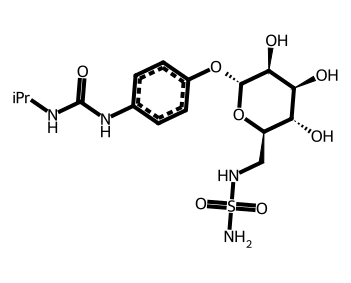 CC(C)NC(=O)Nc1ccc(O[C@H]2O[C@H](CNS(N)(=O)=O)[C@@H](O)[C@H](O)[C@@H]2O)cc1